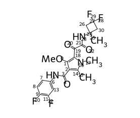 COc1c(C(=O)Nc2ccc(F)c(F)c2)c(C)n(C)c1C(=O)C(=O)NC1(C)CC(F)(F)C1